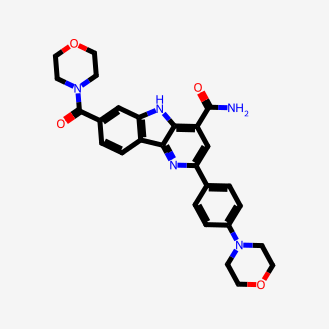 NC(=O)c1cc(-c2ccc(N3CCOCC3)cc2)nc2c1[nH]c1cc(C(=O)N3CCOCC3)ccc12